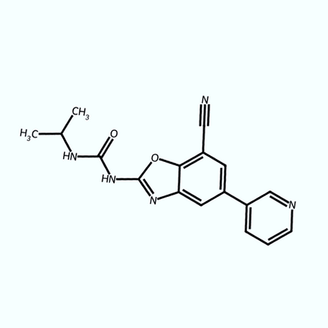 CC(C)NC(=O)Nc1nc2cc(-c3cccnc3)cc(C#N)c2o1